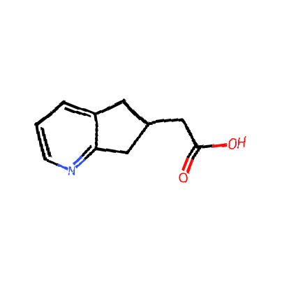 O=C(O)CC1Cc2cccnc2C1